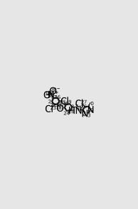 Cc1ncnc(NCc2ccc(Oc3c(Cl)cc([N+](=O)[O-])cc3Cl)cc2)c1Cl